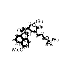 COc1ncc(F)c2c(S(=O)(=O)NC(C)CN(CCCO[Si](C)(C)C(C)(C)C)C(=O)OC(C)(C)C)cccc12